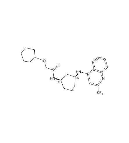 O=C(COC1CCCCC1)N[C@@H]1CCC[C@H](Nc2cc(C(F)(F)F)nc3ccccc23)C1